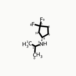 CC(C)N[C@H]1CCC(F)(F)C1